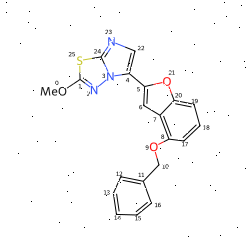 COc1nn2c(-c3cc4c(OCc5ccccc5)cccc4o3)cnc2s1